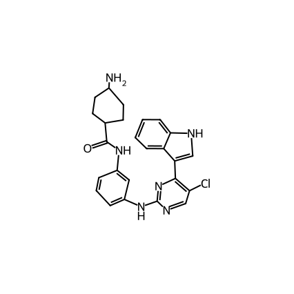 NC1CCC(C(=O)Nc2cccc(Nc3ncc(Cl)c(-c4c[nH]c5ccccc45)n3)c2)CC1